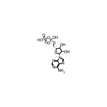 Nc1ncnc2c1ncn2[C@@H]1O[C@H](COP(=O)(O)O[Se](=O)(=O)O)[C@@H](O)[C@H]1O